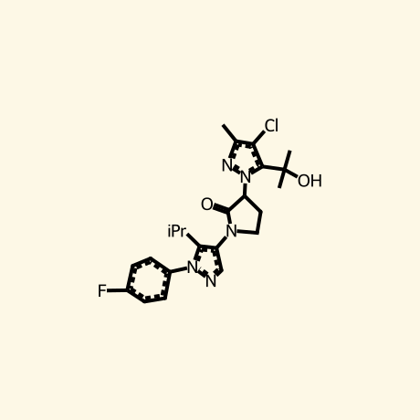 Cc1nn(C2CCN(c3cnn(-c4ccc(F)cc4)c3C(C)C)C2=O)c(C(C)(C)O)c1Cl